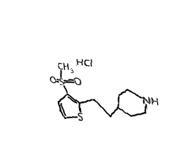 CS(=O)(=O)c1ccsc1CCC1CCNCC1.Cl